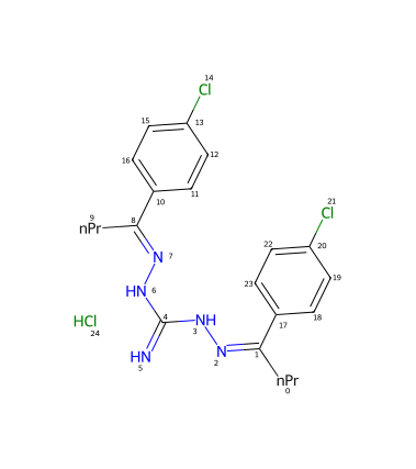 CCCC(=NNC(=N)NN=C(CCC)c1ccc(Cl)cc1)c1ccc(Cl)cc1.Cl